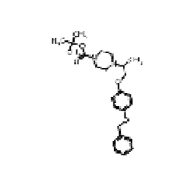 CC(COc1ccc(OCc2ccccc2)cc1)N1CCN(C(=O)OC(C)(C)C)CC1